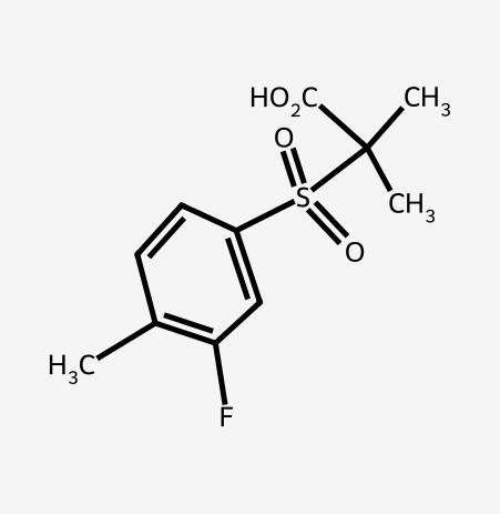 Cc1ccc(S(=O)(=O)C(C)(C)C(=O)O)cc1F